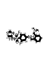 CN(C)Cc1ccccc1CNc1cc(F)c(S(=O)(=O)Nc2cscn2)c(F)c1